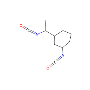 CC(N=C=O)C1CCCC(N=C=O)C1